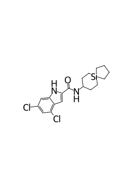 O=C(NC1CC[Si]2(CCCC2)CC1)c1cc2c(Cl)cc(Cl)cc2[nH]1